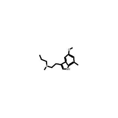 CCCN(C)CCc1c[nH]c2c(C)cc(OC)cc12